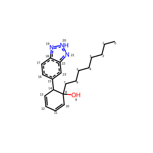 CCCCCCCCC1(O)C=CC=CC1c1ccc2n[nH]nc2c1